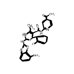 CC(=O)c1ccnc(NC(=O)C2=C(C)NC(Nc3nc4cccc(N)c4o3)=NC2c2ccccc2Cl)c1